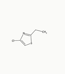 CCc1nc(Cl)cs1